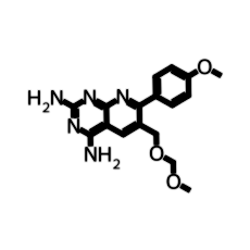 COCOCc1cc2c(N)nc(N)nc2nc1-c1ccc(OC)cc1